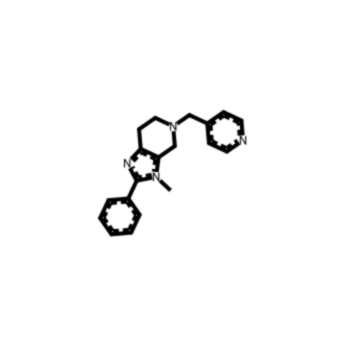 Cn1c(-c2ccccc2)nc2c1CN(Cc1ccncc1)CC2